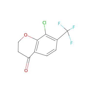 O=C1CCOc2c1ccc(C(F)(F)F)c2Cl